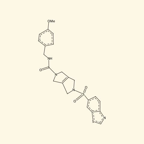 COc1ccc(CNC(=O)N2CC3=C(C2)CN(S(=O)(=O)c2ccc4ncsc4c2)C3)cc1